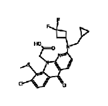 CSc1c(Cl)ccc2c(=O)c3ccc(N(CC4CC4)C4CC(F)(F)C4)nc3n(CC(=O)O)c12